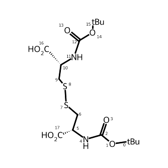 CC(C)(C)OC(=O)N[C@@H](CSSC[C@@H](NC(=O)OC(C)(C)C)C(=O)O)C(=O)O